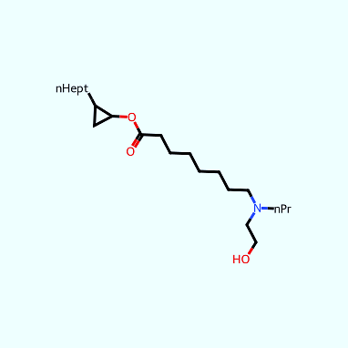 CCCCCCCC1CC1OC(=O)CCCCCCCN(CCC)CCO